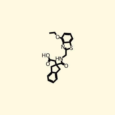 CCOc1cccc2sc(CNC(=O)C3(CC(=O)O)Cc4ccccc4C3)nc12